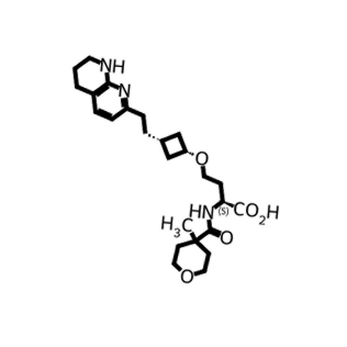 CC1(C(=O)N[C@@H](CCO[C@H]2C[C@@H](CCc3ccc4c(n3)NCCC4)C2)C(=O)O)CCOCC1